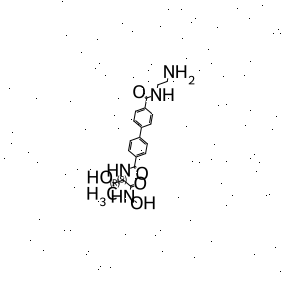 C[C@@H](O)[C@H](NC(=O)c1ccc(-c2ccc(C(=O)NCCN)cc2)cc1)C(=O)NO